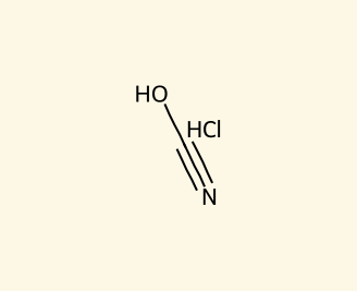 Cl.N#CO